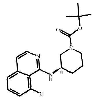 CC(C)(C)OC(=O)N1CCC[C@@H](Nc2nccc3cccc(Cl)c23)C1